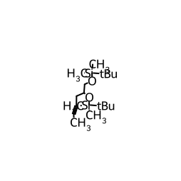 CC#CCC(CO[Si](C)(C)C(C)(C)C)O[Si](C)(C)C(C)(C)C